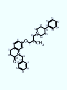 CC(COc1ccc2c(c1)N(Cc1ccccc1)C(=O)CC2)CN1CCC(c2ccccc2)CC1